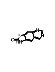 O=c1[nH]c2cc3cn[c]nc3cc2s1